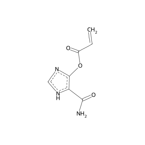 C=CC(=O)Oc1nc[nH]c1C(N)=O